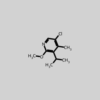 COc1ncc(Cl)c(C)c1C(C)C